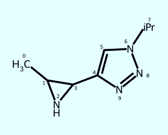 CC1NC1c1cn(C(C)C)nn1